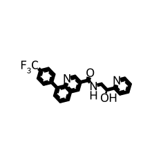 O=C(NC[C@H](O)c1ccccn1)c1cnc2c(-c3ccc(C(F)(F)F)cc3)cccc2c1